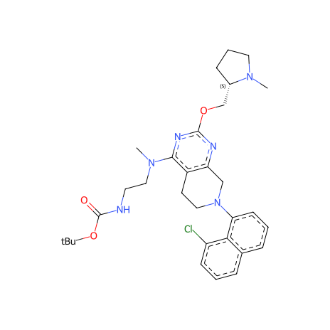 CN(CCNC(=O)OC(C)(C)C)c1nc(OC[C@@H]2CCCN2C)nc2c1CCN(c1cccc3cccc(Cl)c13)C2